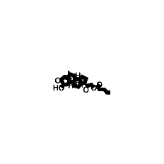 CCCCC(=O)OCC(=O)[C@H]1CC[C@H]2[C@@H]3C[C@H](C)C4=CC(=O)C(O)C[C@]4(C)[C@H]3CC[C@]12C